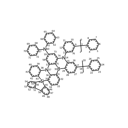 CC(C)(c1ccccc1)c1cccc(N2c3cc(C(C)(C)c4ccccc4)ccc3B3c4cccc5c4N(c4ccccc4[Si]54c5ccccc5-c5ccccc54)c4cc(N(c5ccccc5)c5ccccc5)cc2c43)c1